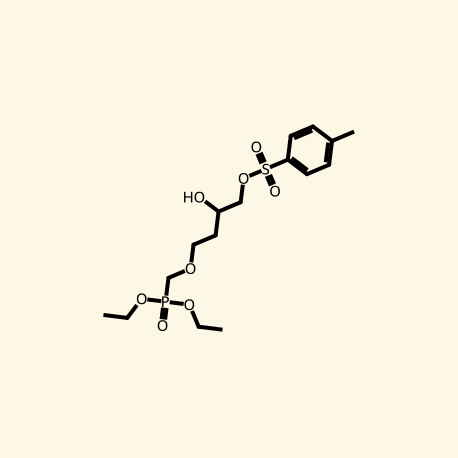 CCOP(=O)(COCCC(O)COS(=O)(=O)c1ccc(C)cc1)OCC